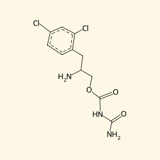 NC(=O)NC(=O)OCC(N)Cc1ccc(Cl)cc1Cl